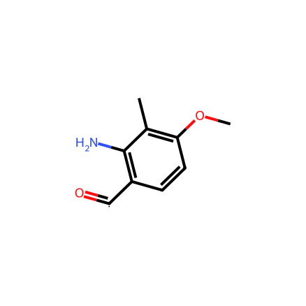 COc1ccc([C]=O)c(N)c1C